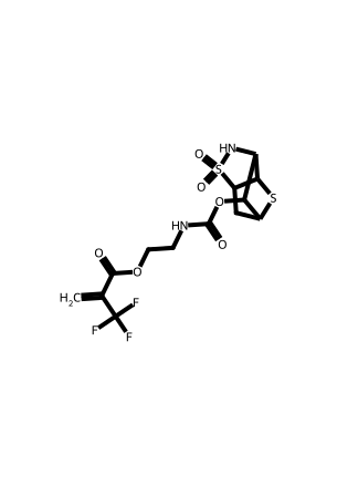 C=C(C(=O)OCCNC(=O)OC1C2CC3C(S2)C1NS3(=O)=O)C(F)(F)F